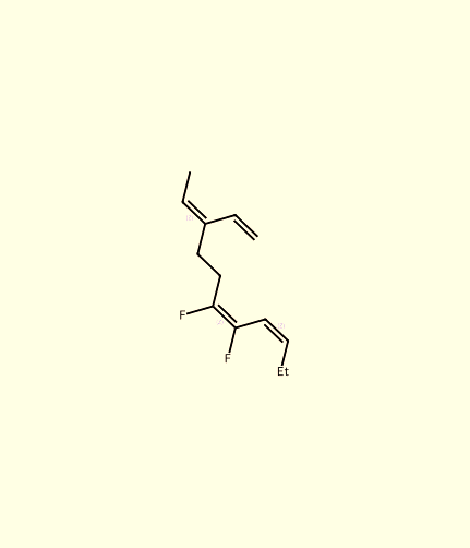 C=C/C(=C\C)CC/C(F)=C(F)\C=C/CC